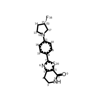 O=C1NCCc2nc(-c3ccc(N4CC[C@H](F)C4)cc3)sc21